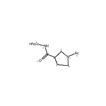 CCCCCNC(=O)C1CCN(C(C)=O)C1